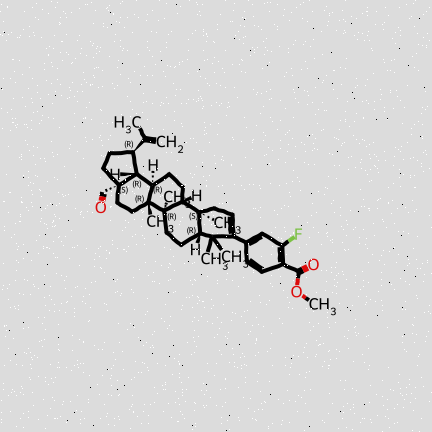 C=C(C)[C@@H]1CC[C@]2(C=O)CC[C@]3(C)[C@H](CC[C@@H]4[C@@]5(C)CC=C(c6ccc(C(=O)OC)c(F)c6)C(C)(C)[C@@H]5CC[C@]43C)[C@@H]12